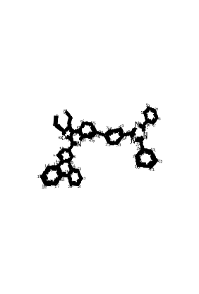 C/C=c1\c(=C/C)oc2c(-c3ccc4c5ccccc5c5ccccc5c4c3)nc3cc(-c4ccc(-c5nc(-c6ccccc6)nc(-c6ccccc6)n5)cc4)ccc3c12